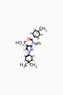 CC(C)N(c1nn(C2=CCC(C)(C)CC2)cc1C(=O)O)C(=O)[C@H]1CC[C@H](C)CC1